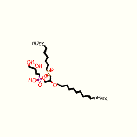 CCCCCC/C=C/CCCCCCCCOC(COP(=O)(O)CCC(O)CO)CS(=O)(=O)CCCCCCCCCCCCCCCC